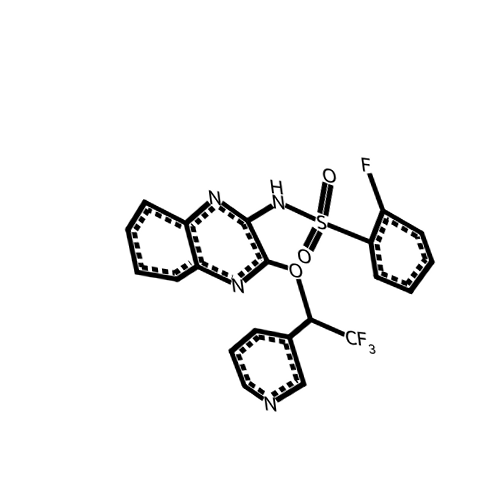 O=S(=O)(Nc1nc2ccccc2nc1OC(c1cccnc1)C(F)(F)F)c1ccccc1F